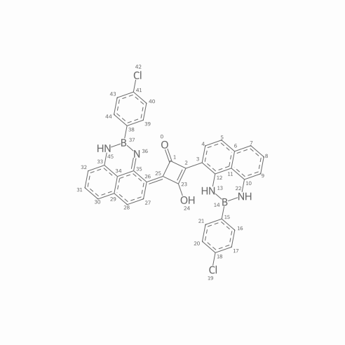 O=C1C(c2ccc3cccc4c3c2NB(c2ccc(Cl)cc2)N4)=C(O)/C1=c1\ccc2cccc3c2c1=NB(c1ccc(Cl)cc1)N3